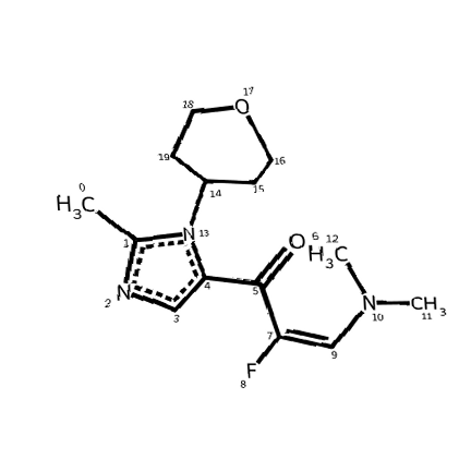 Cc1ncc(C(=O)/C(F)=C\N(C)C)n1C1CCOCC1